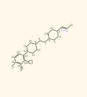 C/C=C/C1CCC(CCC2CCC(c3ccc(C)c(F)c3Cl)CC2)CC1